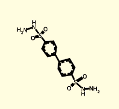 NNS(=O)(=O)c1ccc(-c2ccc(S(=O)(=O)NN)cc2)cc1